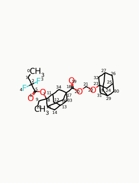 CCC(F)(F)C(=O)OC1(CC)C2CC3CC1CC(C(=O)OCOC14CC5CC(CC(C5)C1)C4)(C3)C2